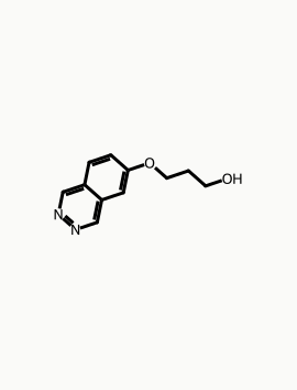 OCCCOc1ccc2cnncc2c1